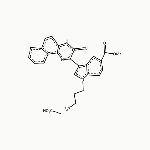 CC(=O)O.COC(=O)c1ccc2c(c1)c(-c1nc3c(ccc4ccccc43)[nH]c1=O)cn2CCCN